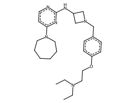 CCN(CC)CCOc1ccc(CN2CC(Nc3nccc(N4CCCCCC4)n3)C2)cc1